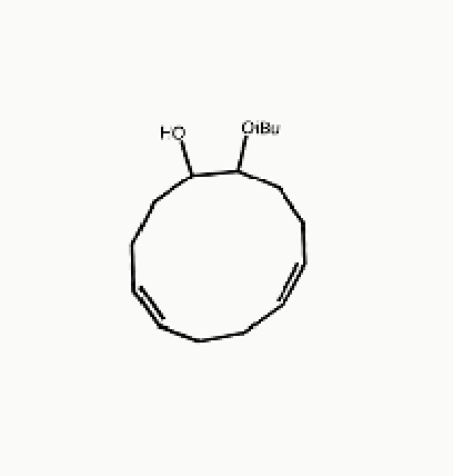 CC(C)COC1CCC=CCCC=CCCC1O